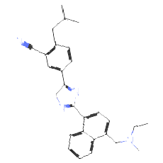 CCN(C)Cc1ccc(C2=NCC(c3ccc(CC(C)C)c(C#N)c3)=N2)c2ccccc12